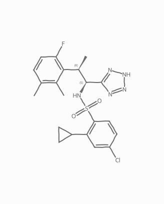 Cc1ccc(F)c([C@@H](C)[C@H](NS(=O)(=O)c2ccc(Cl)cc2C2CC2)c2nn[nH]n2)c1C